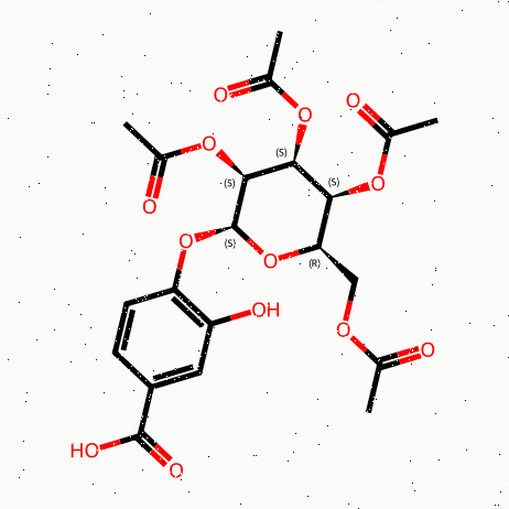 CC(=O)OC[C@H]1O[C@@H](Oc2ccc(C(=O)O)cc2O)[C@@H](OC(C)=O)[C@@H](OC(C)=O)[C@H]1OC(C)=O